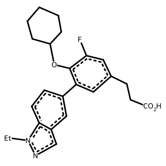 CCn1ncc2cc(-c3cc(CCC(=O)O)cc(F)c3OC3CCCCC3)ccc21